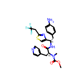 COC(=O)N(C)[C@@H](Cc1ccncc1)C(=O)N[C@@H](Cc1ccc(N)cc1)c1csc(CC(F)(F)F)n1